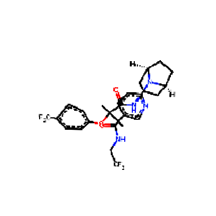 CC(C)(Oc1ccc(C(F)(F)F)cc1)C(=O)N[C@H]1C[C@H]2CC[C@@H](C1)N2c1ccc(C(=O)NCC(F)(F)F)cn1